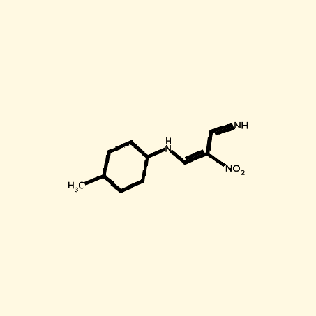 CC1CCC(N/C=C(\C=N)[N+](=O)[O-])CC1